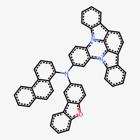 c1ccc2c(c1)ccc1c(N(c3ccc4oc5ccccc5c4c3)c3ccc4c(c3)n3c5ccccc5c5ccc6c7ccccc7n4c6c53)cccc12